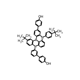 CC(C)(C)c1ccc(N2c3cc(-c4ccc(O)cc4)ccc3B3c4cc(C(C)(C)C)ccc4N(c4cccc(-c5ccc(O)cc5)c4)c4cccc2c43)cc1